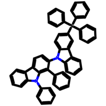 c1ccc(-c2c(-n3c4ccccc4c4cc([Si](c5ccccc5)(c5ccccc5)c5ccccc5)ccc43)ccc3c4ccccc4n(-c4ccccc4)c23)cc1